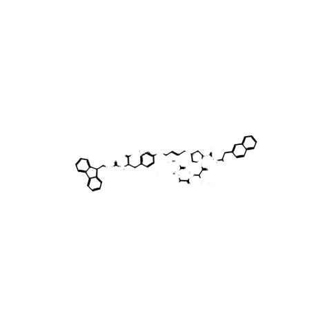 COC(=O)C(Cc1ccc(OCC=CC[C@H]2C[C@@H](C(=O)NC(Cc3ccc4ccccc4c3)C(=O)O)N(C(=O)C(NC(=O)C(C)N(C)C(=O)OC(C)(C)C)C(C)(C)C)C2)cc1)NC(=O)OCC1c2ccccc2-c2ccccc21